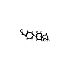 O=CC1=CCC(C2CCC3(CC2)OCCO3)CC1